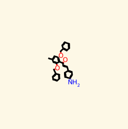 Cc1cc(OCc2ccccc2)c(C(=O)C=Cc2ccc(N)cc2)c(OCc2ccccc2)c1